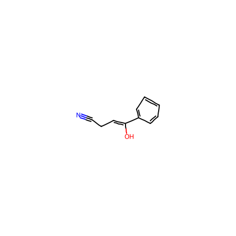 N#CCC=C(O)c1ccccc1